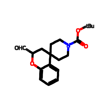 CC(C)(C)OC(=O)N1CCC2(CC1)CC(C=O)Oc1ccccc12